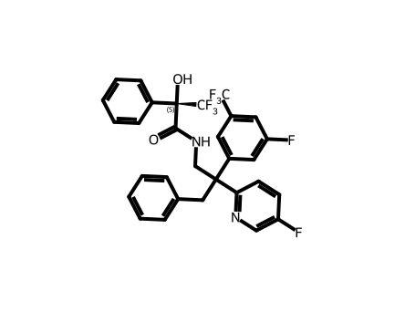 O=C(NCC(Cc1ccccc1)(c1cc(F)cc(C(F)(F)F)c1)c1ccc(F)cn1)[C@@](O)(c1ccccc1)C(F)(F)F